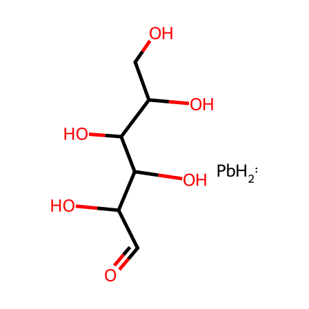 O=CC(O)C(O)C(O)C(O)CO.[PbH2]